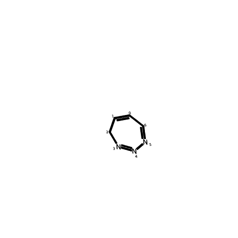 C1=CCN=NN=C1